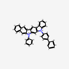 c1ccc(-c2ccc(-n3c4ccccc4c4cc5c6cc7ccccc7cc6n(-c6ccccc6)c5cc43)cc2)cc1